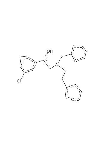 O[C@H](CN(CCc1ccccc1)Cc1ccccc1)c1cccc(Cl)c1